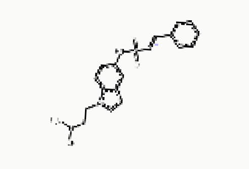 CN(C)CCn1ccc2cc(NS(=O)(=O)/C=C/c3ccccc3)ccc21